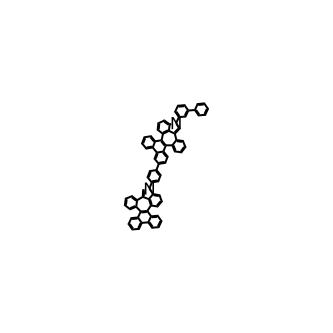 c1ccc(-c2cccc(-n3cc4c5c(cccc53)-c3c(c5ccc(-c6ccc(-n7cc8c9c(cccc97)-c7c(c9ccccc9c9ccccc79)-c7ccccc7-8)cc6)cc5c5ccccc35)-c3ccccc3-4)c2)cc1